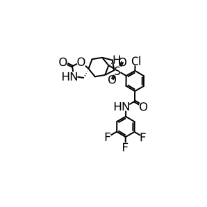 O=C1NC[C@]2(CC3CCC(C2)[C@H]3S(=O)(=O)c2cc(C(=O)Nc3cc(F)c(F)c(F)c3)ccc2Cl)O1